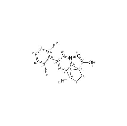 O=C(O)[C@]12CC[C@H](C1)c1cc(-c3c(F)cccc3F)nnc12